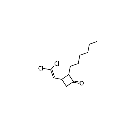 CCCCCCC1C(=O)CC1C=C(Cl)Cl